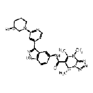 CC[C@H]1CCCN(c2cc(-c3n[nH]c4ccc(NC(=O)C5=C(C)N(C)c6nnnn6[C@@H]5C)cc34)ccn2)C1